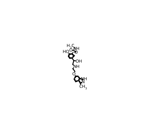 CNS(=O)(=O)c1cc(C(O)CNCCOc2ccc3c(C)n[nH]c3c2)ccc1O